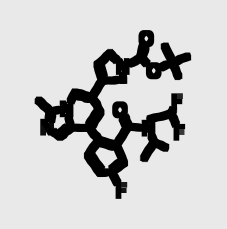 Cc1ncc2c(-c3ccc(F)cc3C(=O)N(CC(F)F)C(C)C)cc(C3=CCN(C(=O)OC(C)(C)C)C3)cn12